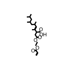 C=CC(=O)OCCOC(=O)CC(C(=O)O)/C(C)=C/C(C)CC(C)CC(C)C